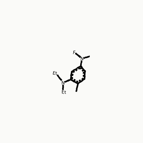 CCN(CC)c1cc(N(C)F)ccc1C